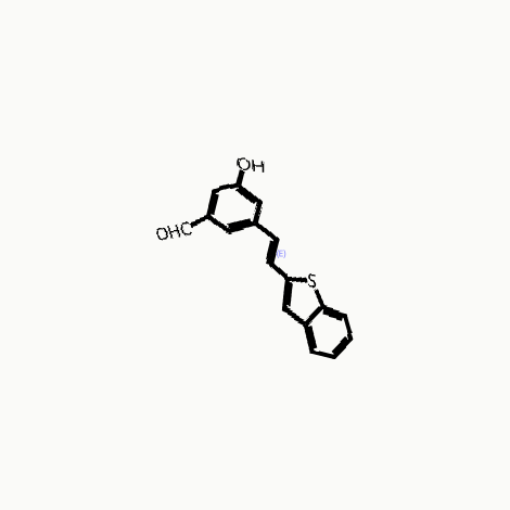 O=Cc1cc(O)cc(/C=C/c2cc3ccccc3s2)c1